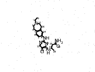 CCN1CCc2ccc(Nc3ncc(Cl)c([AsH]C(C)CC(N)=O)n3)cc2CC1